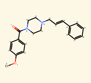 CCOc1ccc(C(=O)N2CCN(C/C=C/c3ccccc3)CC2)cc1